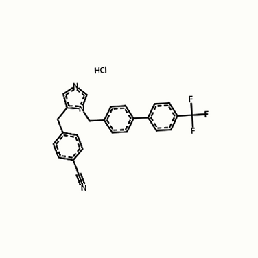 Cl.N#Cc1ccc(Cc2cncn2Cc2ccc(-c3ccc(C(F)(F)F)cc3)cc2)cc1